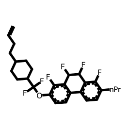 C=CCCC1CCC(C(F)(F)Oc2ccc3c(c2F)C(F)C(F)c2c-3ccc(CCC)c2F)CC1